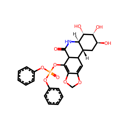 O=C1N[C@H]2[C@H](O)[C@H](O)[C@@H](O)C[C@@H]2C2C=C3OCOC3=C(OP(=O)(Oc3ccccc3)Oc3ccccc3)C12